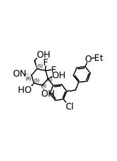 CCOc1ccc(Cc2cc([C@]3(O)[C@H](O)[C@@H](O)[C@H](N=O)[C@@H](CO)C3(F)F)ccc2Cl)cc1